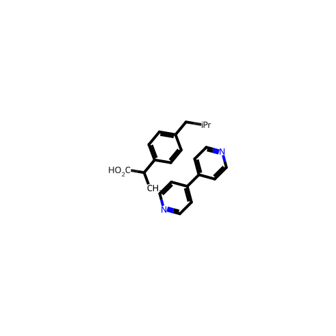 CC(C)Cc1ccc(C(C)C(=O)O)cc1.c1cc(-c2ccncc2)ccn1